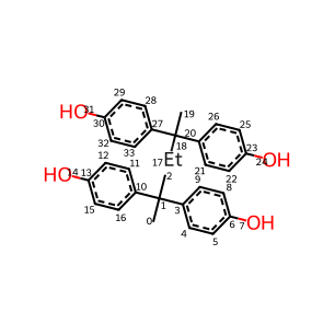 CC(C)(c1ccc(O)cc1)c1ccc(O)cc1.CCC(C)(c1ccc(O)cc1)c1ccc(O)cc1